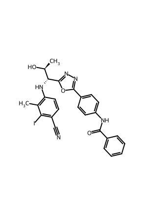 Cc1c(N[C@@H](c2nnc(-c3ccc(NC(=O)c4ccccc4)cc3)o2)[C@H](C)O)ccc(C#N)c1I